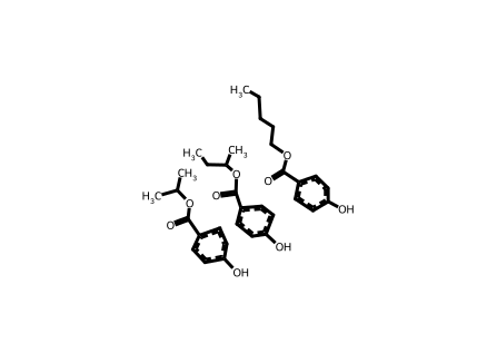 CC(C)OC(=O)c1ccc(O)cc1.CCC(C)OC(=O)c1ccc(O)cc1.CCCCCOC(=O)c1ccc(O)cc1